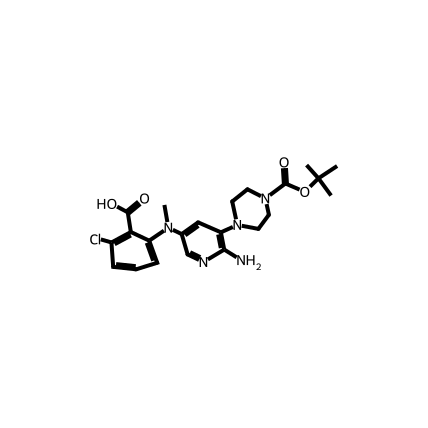 CN(c1cnc(N)c(N2CCN(C(=O)OC(C)(C)C)CC2)c1)c1cccc(Cl)c1C(=O)O